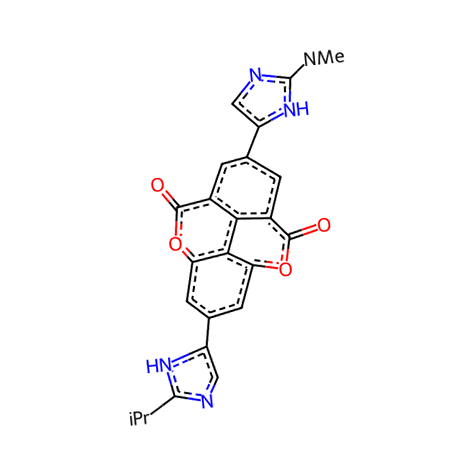 CNc1ncc(-c2cc3c(=O)oc4cc(-c5cnc(C(C)C)[nH]5)cc5oc(=O)c(c2)c3c45)[nH]1